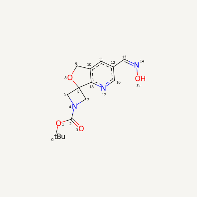 CC(C)(C)OC(=O)N1CC2(C1)OCc1cc(/C=N\O)cnc12